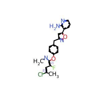 C=N/C(Oc1ccc(Cc2cc(-c3cccnc3N)on2)cc1)=C(F)\C=C(/C)Cl